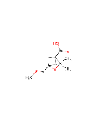 COCC12CC(C(=O)O)(C1)C(C)(C)O2